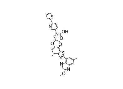 COc1cnc2c(-c3nc4c(C)cc5c(c4s3)OCC(CN(C(=O)O)c3ccc(-c4cccs4)nc3)O5)cc(C)cc2n1